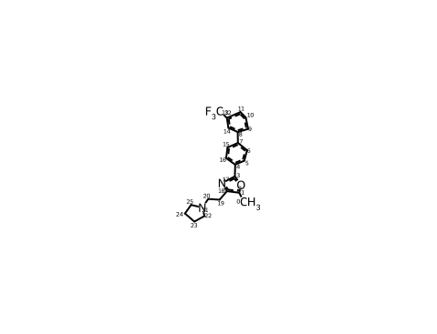 Cc1oc(-c2ccc(-c3cccc(C(F)(F)F)c3)cc2)nc1CCN1CCCC1